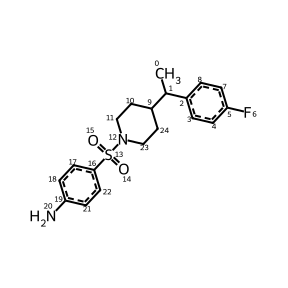 CC(c1ccc(F)cc1)C1CCN(S(=O)(=O)c2ccc(N)cc2)CC1